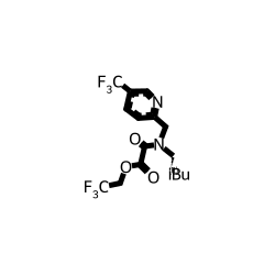 CC[C@@H](C)CN(Cc1ccc(C(F)(F)F)cn1)C(=O)C(=O)OCC(F)(F)F